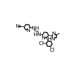 Cc1c[nH]c(-c2ccc(NCCNc3ccc(C#N)cn3)nc2-c2ccc(Cl)cc2Cl)n1